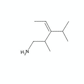 C/C=C(/C(C)C)C(C)CN